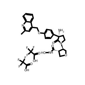 Cc1cc(COc2ccc([C@@]3(N)CCN([C@H]4COC[C@@H]4C(=O)NO)C3=O)cc2)c2ccccc2n1.O=C(O)C(F)(F)F.O=C(O)C(F)(F)F